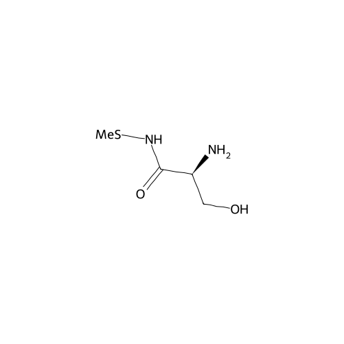 CSNC(=O)[C@@H](N)CO